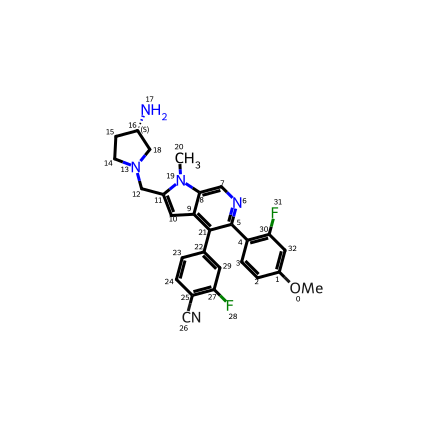 COc1ccc(-c2ncc3c(cc(CN4CC[C@H](N)C4)n3C)c2-c2ccc(C#N)c(F)c2)c(F)c1